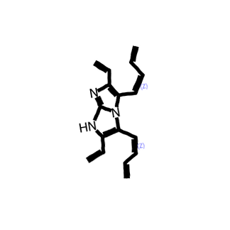 C=C/C=C\c1c(C=C)nc2[nH]c(C=C)c(/C=C\C=C)n12